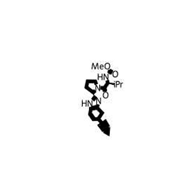 COC(=O)N[C@H](C(=O)N1CCC[C@H]1c1nc2c([nH]1)C=CC(C1C34CCC13C4)C2)C(C)C